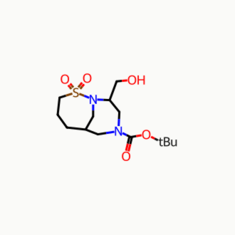 CC(C)(C)OC(=O)N1CC2CCCS(=O)(=O)N(C2)C(CO)C1